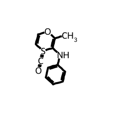 CC1=C(Nc2ccccc2)S(=C=O)C=CO1